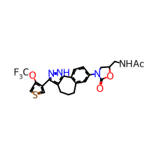 CC(=O)NCC1CN(c2ccc3c(c2)CCCc2c(-c4cscc4OC(F)(F)F)n[nH]c2-3)C(=O)O1